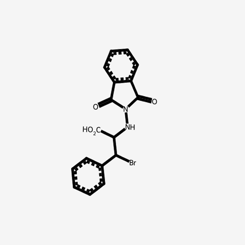 O=C(O)C(NN1C(=O)c2ccccc2C1=O)C(Br)c1ccccc1